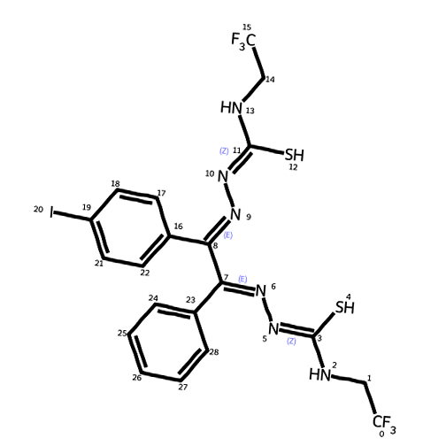 FC(F)(F)CN/C(S)=N/N=C(/C(=N/N=C(\S)NCC(F)(F)F)c1ccc(I)cc1)c1ccccc1